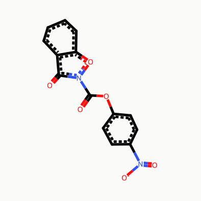 O=C(Oc1ccc([N+](=O)[O-])cc1)n1oc2ccccc2c1=O